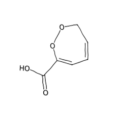 O=C(O)C1=CC=CCOO1